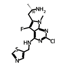 C[C@H](N)Cc1c(F)c2c(NCc3cncs3)nc(Cl)nc2n1C